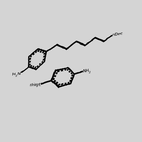 CCCCCCCCCCCCCCCCc1ccc(N)cc1.CCCCCCCc1ccc(N)cc1